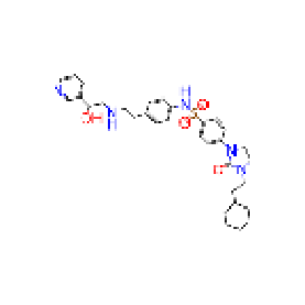 O=C1N(CCC2CCCCC2)CCN1c1ccc(S(=O)(=O)Nc2ccc(CCNCC(O)c3cccnc3)cc2)cc1